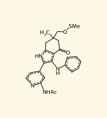 CSOCC1(C)CC(=O)c2c([nH]c(-c3ccnc(NC(C)=O)c3)c2Nc2ccccc2)C1